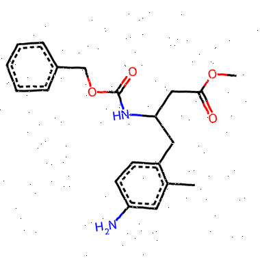 COC(=O)CC(Cc1ccc(N)cc1C)NC(=O)OCc1ccccc1